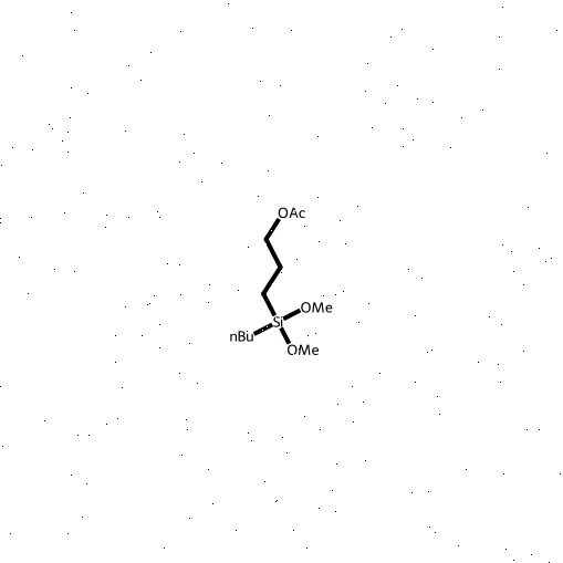 CCCC[Si](CCCOC(C)=O)(OC)OC